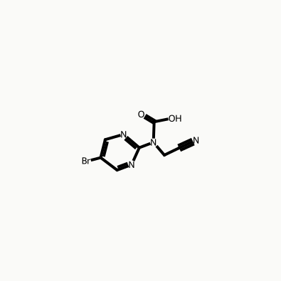 N#CCN(C(=O)O)c1ncc(Br)cn1